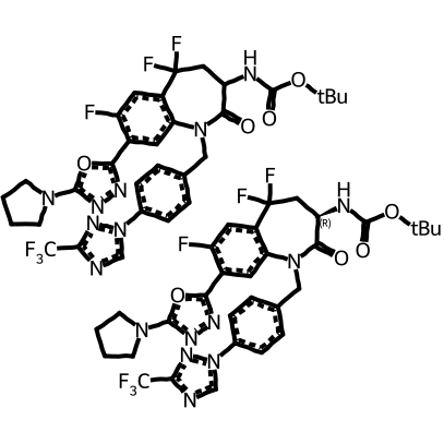 CC(C)(C)OC(=O)NC1CC(F)(F)c2cc(F)c(-c3nnc(N4CCCC4)o3)cc2N(Cc2ccc(-n3cnc(C(F)(F)F)n3)cc2)C1=O.CC(C)(C)OC(=O)N[C@@H]1CC(F)(F)c2cc(F)c(-c3nnc(N4CCCC4)o3)cc2N(Cc2ccc(-n3cnc(C(F)(F)F)n3)cc2)C1=O